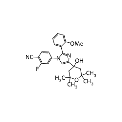 COc1ccccc1-c1nc(C2(O)CC(C)(C)OC(C)(C)C2)cn1-c1ccc(C#N)c(F)c1